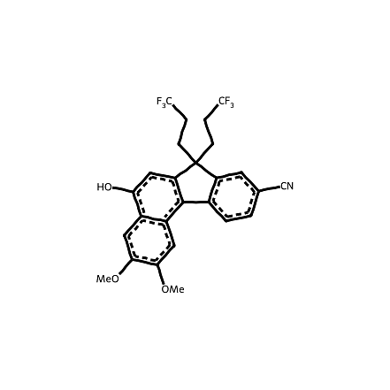 COc1cc2c(O)cc3c(c2cc1OC)-c1ccc(C#N)cc1C3(CCC(F)(F)F)CCC(F)(F)F